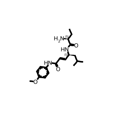 CC[C@H](N)C(=O)N[C@H](C=CC(=O)Nc1ccc(OC)cc1)CC(C)C